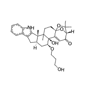 CC1(C)O[C@@]23CCC4(C)[C@@]5(C)c6[nH]c7ccccc7c6C[C@@H]5C[C@H](OCCCO)[C@@]4(O)C2=CC(=O)[C@@H]1O3